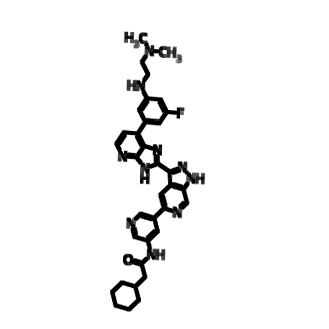 CN(C)CCNc1cc(F)cc(-c2ccnc3[nH]c(-c4n[nH]c5cnc(-c6cncc(NC(=O)CC7CCCCC7)c6)cc45)nc23)c1